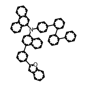 c1ccc(-c2ccccc2-c2ccccc2-c2ccc(N(c3ccc(-c4cccc(-c5cc6ccccc6o5)c4)c4ccccc34)c3cc4ccccc4c4ccccc34)cc2)cc1